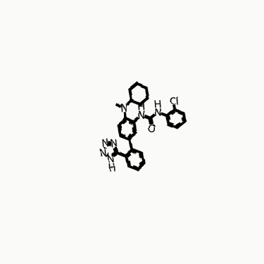 CN(c1ccc(-c2ccccc2-c2nnn[nH]2)cc1NC(=O)Nc1ccccc1Cl)C1CCCCC1